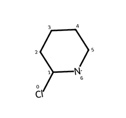 ClC1CCCC[N]1